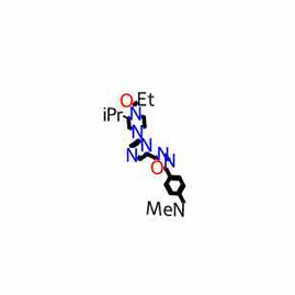 CCC(=O)N1CCN(c2cncc(-c3nnc(-c4ccc(CNC)cc4)o3)n2)C[C@H]1C(C)C